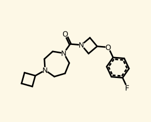 O=C(N1CCCN(C2CCC2)CC1)N1CC(Oc2ccc(F)cc2)C1